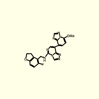 COc1ccc(-c2cnc(NCc3c(F)ccc4c3CCO4)n3cnnc23)c2ncnn12